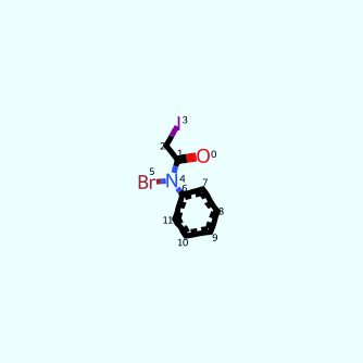 O=C(CI)N(Br)c1ccccc1